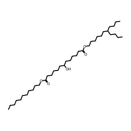 CCCCCCCCCCCOC(=O)CCCCCC(O)CCCCCC(=O)OCCCCCCC(CCCC)CCCC